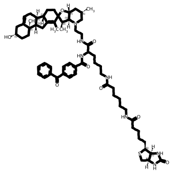 CC1=C2C[C@H]3[C@@H](CC=C4C[C@@H](O)CC[C@@]43C)[C@@H]2CCC12O[C@@H]1C[C@H](C)CN(CCNC(=O)C(CCCCNC(=O)CCCCCNC(=O)CCCC[C@@H]3SC[C@@H]4NC(=O)N[C@@H]43)NC(=O)c3ccc(C(=O)c4ccccc4)cc3)[C@H]1[C@H]2C